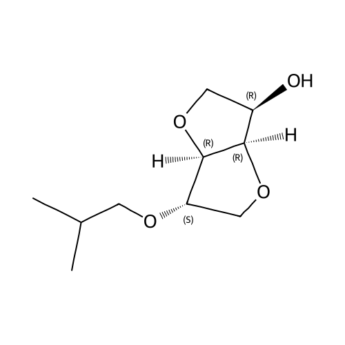 CC(C)CO[C@H]1CO[C@H]2[C@@H]1OC[C@H]2O